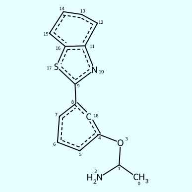 CC(N)Oc1cccc(-c2nc3ccccc3s2)c1